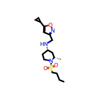 CCCCS(=O)(=O)N1CC[C@H](NCc2cc(C3CC3)on2)C[C@@H]1C